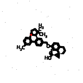 Cc1ccc(F)c(-c2ccc(COc3ccc4c(c3F)[C@@]3(CCC4)C[C@@H]3C(=O)O)cc2[C@H]2CCCC2(C)C)c1